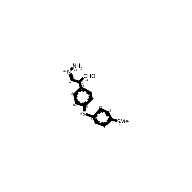 CSc1ccc(Sc2ccc(C([C]=O)/[C]=N\N)cc2)cc1